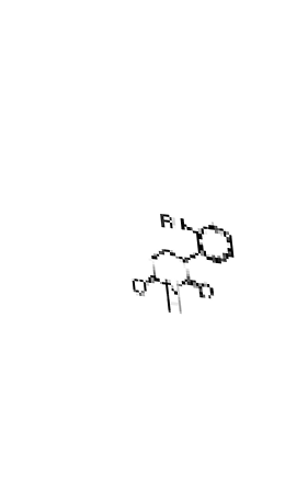 CCC(C)c1ccccc1C1CCC(=O)NC1=O